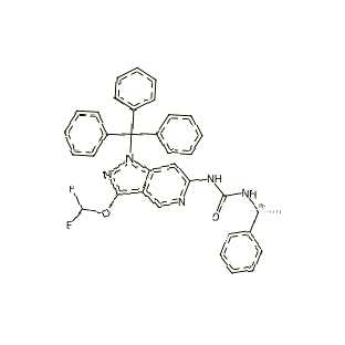 C[C@@H](NC(=O)Nc1cc2c(cn1)c(OC(F)F)nn2C(c1ccccc1)(c1ccccc1)c1ccccc1)c1ccccc1